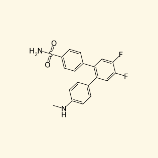 CNc1ccc(-c2cc(F)c(F)cc2-c2ccc(S(N)(=O)=O)cc2)cc1